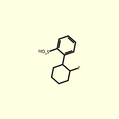 O=S(=O)(O)c1ccccc1C1CCCCC1F